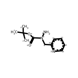 CC(C)(C)OC(=O)N(N)Cc1ccccn1